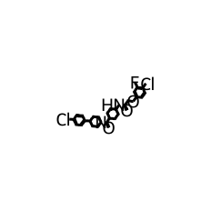 O=C(COc1ccc(Cl)c(F)c1)NC1CCC(C(=O)N2CCC(c3ccc(Cl)cc3)CC2)CC1